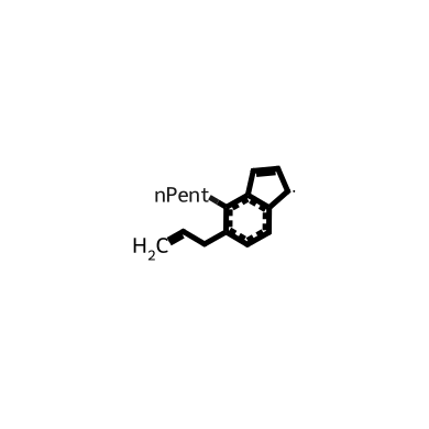 C=CCc1ccc2c(c1CCCCC)C=C[CH]2